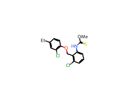 CCc1ccc(OCc2c(Cl)cccc2NC(=S)OC)c(Cl)c1